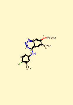 CCCCCOc1cc2nnnc(Nc3ccc(F)c(C(F)(F)F)c3)c2cc1OC